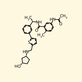 CC(=O)Nc1ccc(C)c(C(=O)N[C@H](C)c2cccc(-c3ccc(CN[C@H]4CC[C@@H](O)C4)s3)c2)c1